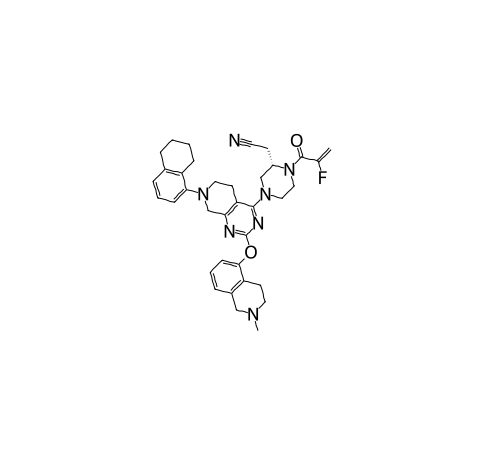 C=C(F)C(=O)N1CCN(c2nc(Oc3cccc4c3CCN(C)C4)nc3c2CCN(c2cccc4c2CCCC4)C3)C[C@@H]1CC#N